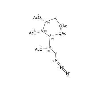 CC(=O)OC[C@@H](OC(C)=O)[C@@H](OC(C)=O)[C@H](OC(C)=O)[C@H](CN=[N+]=[N-])OC(C)=O